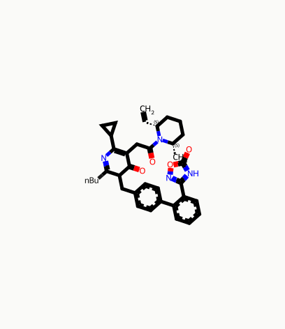 C=C[C@@H]1CCC[C@H](C)N1C(=O)CC1=C(C2CC2)N=C(CCCC)C(Cc2ccc(-c3ccccc3-c3noc(=O)[nH]3)cc2)C1=O